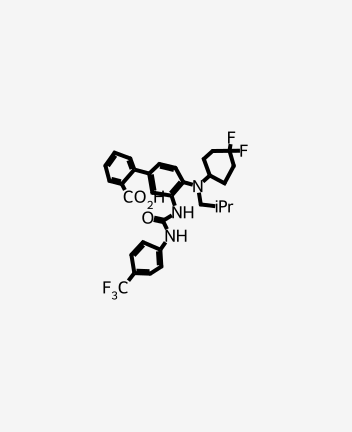 CC(C)CN(c1ccc(-c2ccccc2C(=O)O)cc1NC(=O)Nc1ccc(C(F)(F)F)cc1)C1CCC(F)(F)CC1